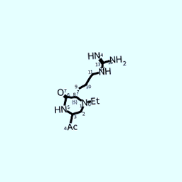 CCN1CC(C(C)=O)NC(=O)[C@@H]1CCCNC(=N)N